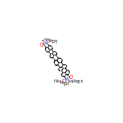 CCCCCCCC(C)N1C(=O)c2ccc3c4ccc5c6ccc7c8ccc9c%10ccc%11c%12c(ccc(c%13ccc(c%14ccc(c%15ccc(c%16ccc(c2c3%16)C1=O)c4c5%15)c6c7%14)c8c9%13)c%12%10)C(=O)N(C(CCCCCCC)CCCCCCC)C%11=O